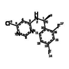 C[C@H](Nc1cc(Cl)ncn1)c1ccc(F)cc1F